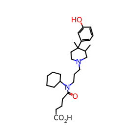 CC1CN(CCCN(C(=O)CCCC(=O)O)C2CCCCC2)CCC1(C)c1cccc(O)c1